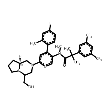 Cc1cc(F)ccc1-c1cc(N2CC(CO)N3CCC[C@@H]3C2)ncc1N(C)C(=O)C(C)(C)c1cc(C(F)(F)F)cc(C(F)(F)F)c1